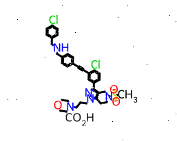 CS(=O)(=O)N1CCc2c(c(-c3ccc(Cl)c(C#Cc4ccc(CNCc5ccc(Cl)cc5)cc4)c3)nn2CCCN2CCOCC2C(=O)O)C1